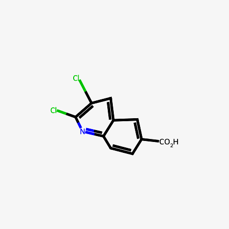 O=C(O)c1ccc2nc(Cl)c(Cl)cc2c1